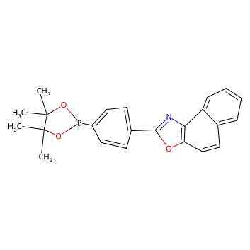 CC1(C)OB(c2ccc(-c3nc4c(ccc5ccccc54)o3)cc2)OC1(C)C